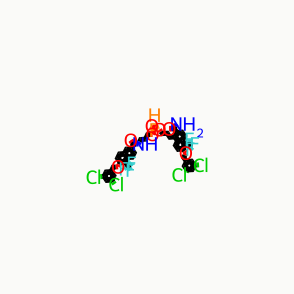 NC(=O)c1ccc2c(C(F)(F)F)c(OCc3cc(Cl)cc(Cl)c3)ccc2c1CCCO[PH](=O)OCCCNC(=O)c1ccc2c(C(F)(F)F)c(OCc3cc(Cl)cc(Cl)c3)ccc2c1